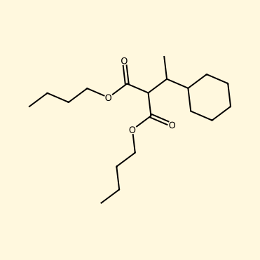 CCCCOC(=O)C(C(=O)OCCCC)C(C)C1CCCCC1